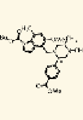 COC(=O)c1ccc([C@@H]2CN(C)C(C)CN2Cc2c(OC)cc(C)c3c2ccn3C(=O)OC(C)(C)C)cc1